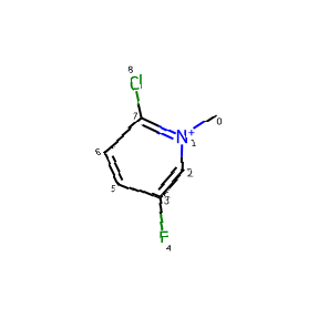 C[n+]1cc(F)ccc1Cl